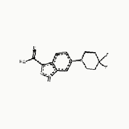 O=C(O)c1n[nH]c2cc(N3CCC(F)(F)CC3)ccc12